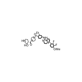 CCc1cc(Nc2nccn3c(-c4ccc(OC)c(F)c4F)cnc23)ccc1C(=O)N1CCN(C(=O)[C@H]2CCNC[C@@H]2O)CC1